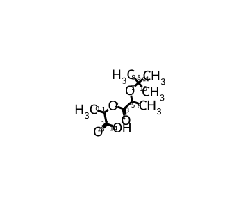 CC(OC(=O)C(C)OC(C)(C)C)C(=O)O